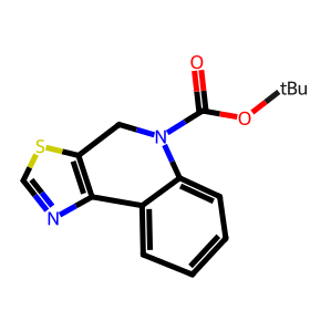 CC(C)(C)OC(=O)N1Cc2scnc2-c2ccccc21